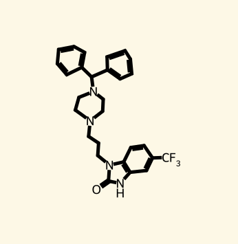 O=c1[nH]c2cc(C(F)(F)F)ccc2n1CCCN1CCN(C(c2ccccc2)c2ccccc2)CC1